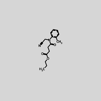 CCCOC(=O)CCC(=O)N(CC#N)c1ccccc1C